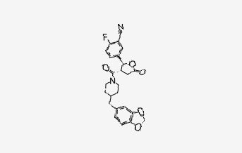 N#Cc1cc([C@H]2OC(=O)C[C@@H]2C(=O)N2CCC(Cc3ccc4c(c3)OCO4)CC2)ccc1F